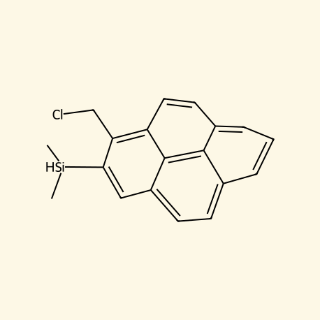 C[SiH](C)c1cc2ccc3cccc4ccc(c1CCl)c2c34